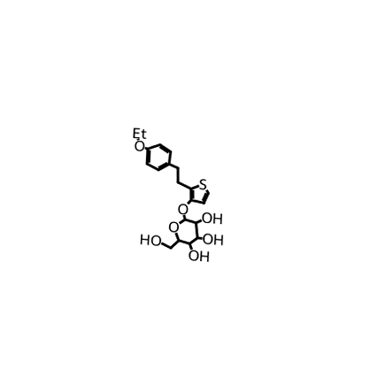 CCOc1ccc(CCc2sccc2OC2OC(CO)C(O)C(O)C2O)cc1